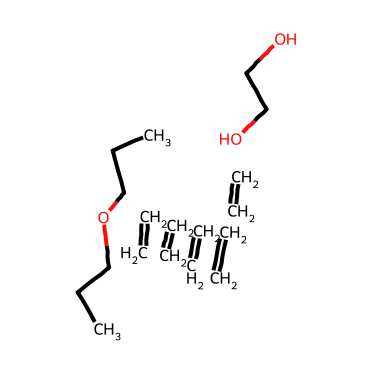 C=C.C=C.C=C.C=C.C=C.CCCOCCC.OCCO